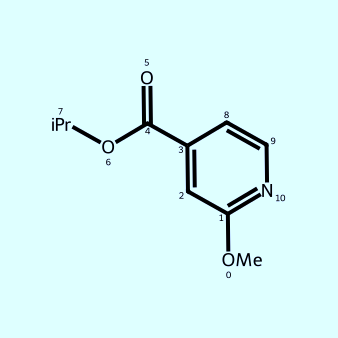 COc1cc(C(=O)OC(C)C)ccn1